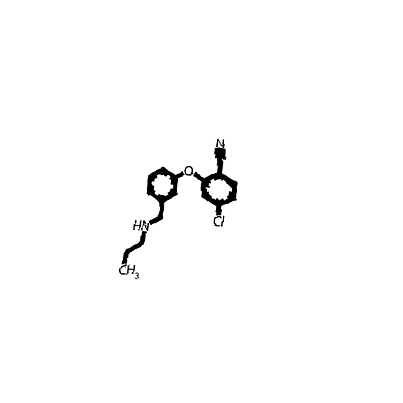 CCCNCc1cccc(Oc2cc(Cl)ccc2C#N)c1